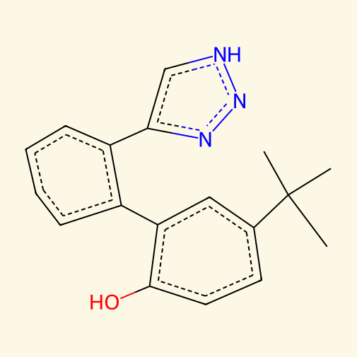 CC(C)(C)c1ccc(O)c(-c2ccccc2-c2c[nH]nn2)c1